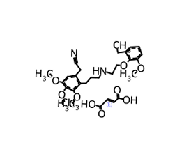 CCc1cccc(OC)c1OCCNCCCc1c(CC#N)cc(OC)c(OC)c1OC.O=C(O)/C=C/C(=O)O